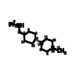 CC(C)NC[C@H]1CC[C@H](N2CCN(C)CC2)CC1